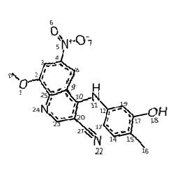 COc1cc([N+](=O)[O-])cc2c(Nc3ccc(C)c(O)c3)c(C#N)cnc12